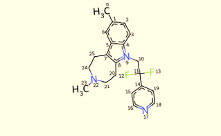 Cc1ccc2c(c1)c1c(n2CC(F)(F)c2ccncc2)CCN(C)CC1